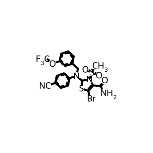 CS(=O)(=O)N1C(C(N)=O)=C(Br)SC1N(Cc1cccc(OC(F)(F)F)c1)c1ccc(C#N)cc1